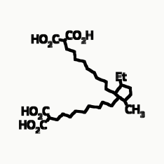 CCC1CCC(C)C(CCCCCCCCCC(C(=O)O)C(=O)O)C1CCCCCCCCCC(C(=O)O)C(=O)O